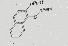 CCCCCOc1c(CCCCC)ccc2ccccc12